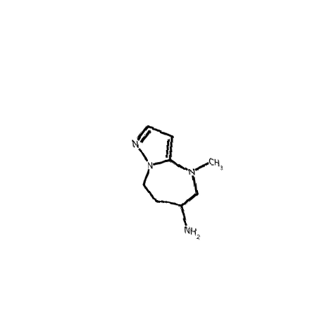 CN1CC(N)CCn2nccc21